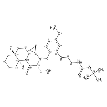 COc1ccc(CN(C2CC2)[C@H](CO)C(=O)N2CCC[C@H]3CCCC[C@@H]32)c(OCCNC(=O)OC(C)(C)C)c1